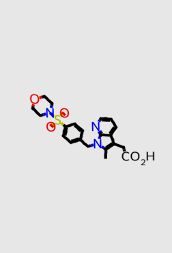 Cc1c(CC(=O)O)c2cccnc2n1Cc1ccc(S(=O)(=O)N2CCOCC2)cc1